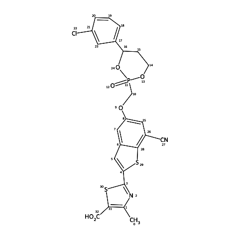 Cc1nc(-c2cc3cc(OCP4(=O)OCCC(c5cccc(Cl)c5)O4)cc(C#N)c3s2)sc1C(=O)O